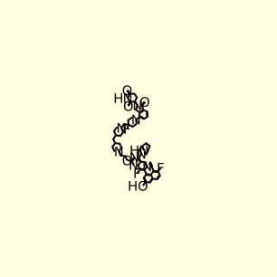 C#Cc1c(F)ccc2cc(O)cc(-c3ncc4c(N5CC6CCC(C5)N6)nc(OCCN5CCC(CC6CCN(CC7(F)CCN(c8cccc9c8CN(C8CCC(=O)NC8=O)C9=O)CC7)CC6)CC5)nc4c3F)c12